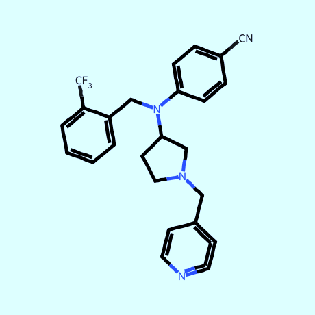 N#Cc1ccc(N(Cc2ccccc2C(F)(F)F)C2CCN(CC3=C=C=NC=C3)C2)cc1